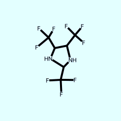 FC(F)(F)C1NC(C(F)(F)F)C(C(F)(F)F)N1